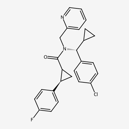 O=C(C1C[C@H]1c1ccc(F)cc1)N(Cc1ccccn1)[C@@H](c1ccc(Cl)cc1)C1CC1